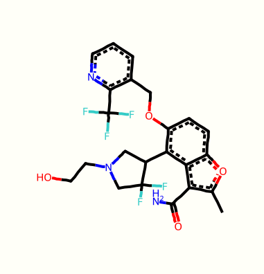 Cc1oc2ccc(OCc3cccnc3C(F)(F)F)c(C3CN(CCO)CC3(F)F)c2c1C(N)=O